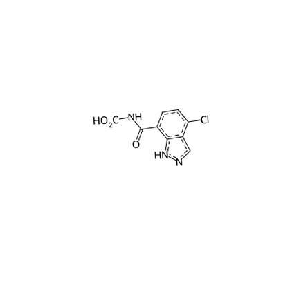 O=C(O)NC(=O)c1ccc(Cl)c2cn[nH]c12